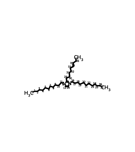 CCCCCCCCCCCCN1C=CN(CCCCCCCCCCCC)C1CCCCCCCCC